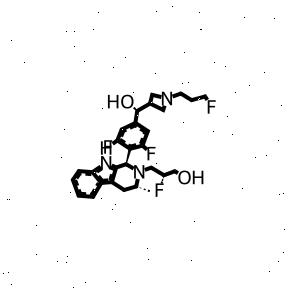 C[C@@H]1Cc2c([nH]c3ccccc23)[C@@H](c2c(F)cc([C@H](O)C3CN(CCCF)C3)cc2F)N1C[C@@H](F)CO